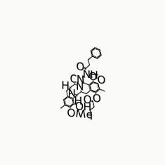 COc1c(C)cc2c(c1O)[C@@H]1C3Cc4c(OC(=O)CCI)c(C)c5c(c4[C@H](CNC(=O)CCc4ccccc4)N3[C@@H](C#N)[C@H](C2)N1C)OCO5